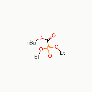 CCCCOC(=O)P(=O)(OCC)OCC